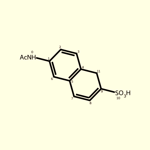 CC(=O)Nc1ccc2c(c1)C=C=C(S(=O)(=O)O)C2